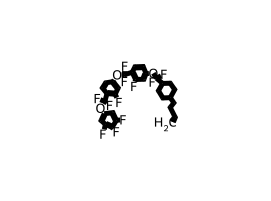 C=CCCC1CCC(C(F)(F)Oc2ccc(C(F)(F)Oc3ccc(C(F)(F)Oc4cc(F)c(F)c(F)c4)c(F)c3)c(F)c2)CC1